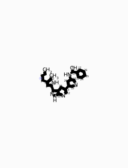 C=C/C=C\c1cc(-c2n[nH]c3ncc(-c4cncc(NC(=C)c5ccccc5)c4)cc23)[nH]c1C